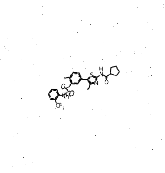 Cc1ccc(-c2sc(NC(=O)C3CCCC3)nc2C)cc1S(=O)(=O)Nc1ccccc1C(F)(F)F